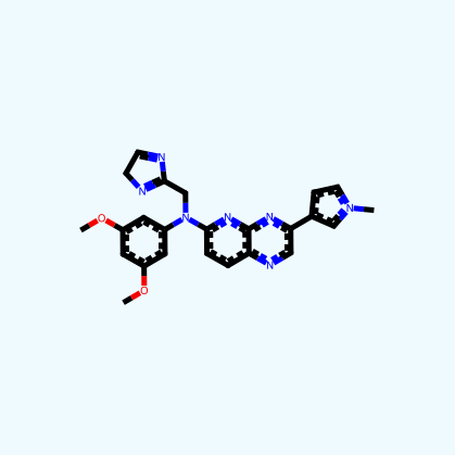 COc1cc(OC)cc(N(CC2=NCC=N2)c2ccc3ncc(-c4ccn(C)c4)nc3n2)c1